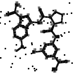 COc1ccc2c(c1)c(NC(=O)N1CCC[C@H]1C(=O)Nc1cc(Br)cc(C(=O)O)c1)cn2C(N)=O